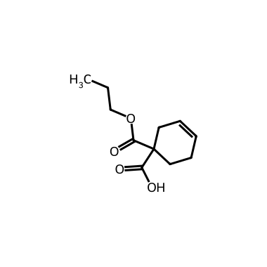 CCCOC(=O)C1(C(=O)O)CC=CCC1